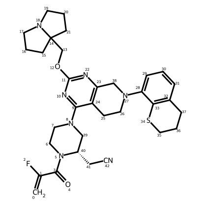 C=C(F)C(=O)N1CCN(c2nc(OCC34CCCN3CCC4)nc3c2CCN(c2cccc4c2SCCC4)C3)C[C@@H]1CC#N